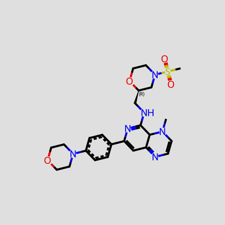 CN1C=CN=C2C=C(c3ccc(N4CCOCC4)cc3)N=C(NC[C@@H]3CN(S(C)(=O)=O)CCO3)C21